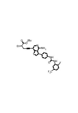 CCN(CC#Cc1cnc(N)c2c(-c3ccc(NC(=O)Nc4cc(C(F)(F)F)ccc4F)cc3)csc12)C(=O)OC(C)(C)C